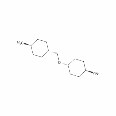 CCC[C@H]1CC[C@H](OC[C@H]2CC[C@H](C)CC2)CC1